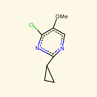 COc1cnc(C2CC2)nc1Cl